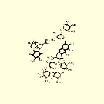 CO[C@@]12[C@H](COC(N)=O)C3=C(C(=O)C(C)=C(N)C3=O)N1C[C@@H]1N[C@@H]12.CO[C@H](C(=O)[C@@H](O)[C@@H](C)O)C1Cc2cc3cc(O[C@H]4C[C@@H](O[C@H]5C[C@@H](O)[C@H](O)[C@@H](C)O5)[C@@H](O)[C@@H](C)O4)c(C)c(O)c3c(O)c2C(=O)[C@H]1O[C@H]1C[C@@H](O[C@H]2C[C@@H](O[C@H]3C[C@](C)(O)[C@H](O)[C@@H](C)O3)[C@H](O)[C@@H](C)O2)[C@H](O)[C@@H](C)O1